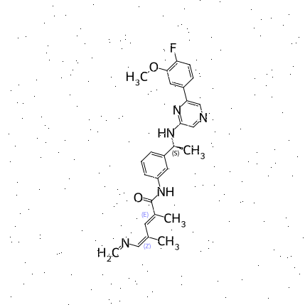 C=N/C=C(C)\C=C(/C)C(=O)Nc1cccc([C@H](C)Nc2cncc(-c3ccc(F)c(OC)c3)n2)c1